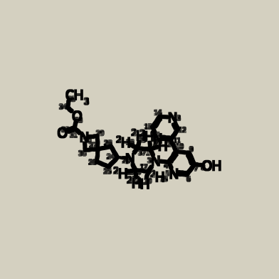 [2H]C1([2H])N(c2ncc(O)cc2-c2cnccn2)C([2H])([2H])C([2H])([2H])N([C@H]2CCC3(C2)CN(C(=O)OCC)C3)C1([2H])[2H]